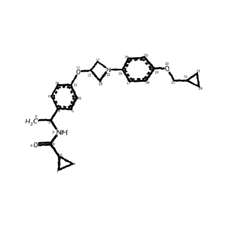 CC(NC(=O)C1CC1)c1ccc(OC2CN(c3ccc(OCC4CC4)cc3)C2)cc1